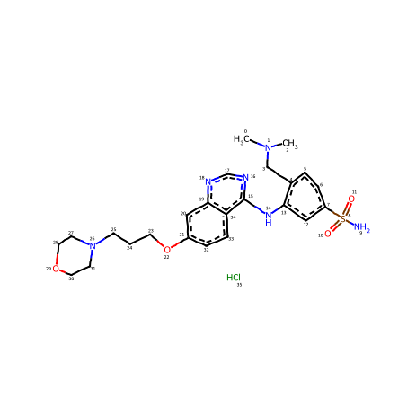 CN(C)Cc1ccc(S(N)(=O)=O)cc1Nc1ncnc2cc(OCCCN3CCOCC3)ccc12.Cl